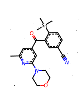 Cc1cc(C(=O)c2cc(C#N)cc[c]2[Sn]([CH3])([CH3])[CH3])cc(N2CCOCC2)n1